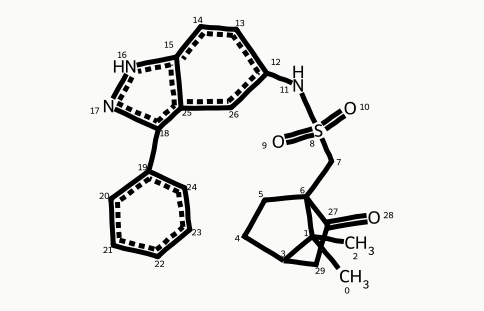 CC1(C)C2CCC1(CS(=O)(=O)Nc1ccc3[nH]nc(-c4ccccc4)c3c1)C(=O)C2